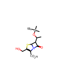 CC(O[Si](C)(C)C(C)(C)C)C1C(=O)N2C(C(=O)O)=C(CO)SC12